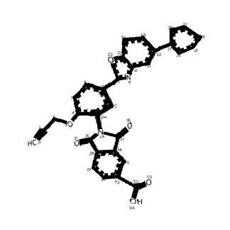 C#CCOc1ccc(-c2nc3cc(-c4ccccc4)ccc3o2)cc1N1C(=O)c2ccc(C(=O)O)cc2C1=O